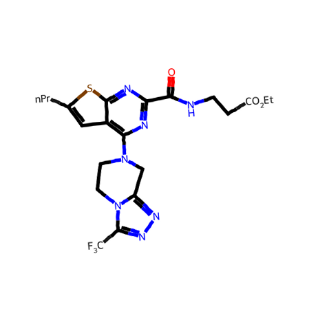 CCCc1cc2c(N3CCn4c(nnc4C(F)(F)F)C3)nc(C(=O)NCCC(=O)OCC)nc2s1